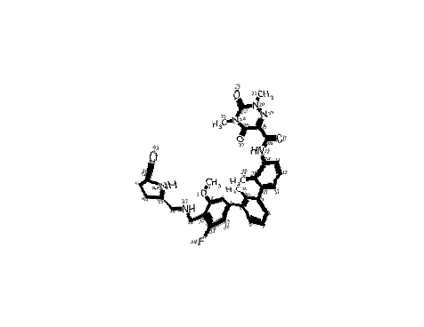 COc1cc(-c2cccc(-c3cccc(NC(=O)c4nn(C)c(=O)n(C)c4=O)c3C)c2C)cc(F)c1CNC[C@H]1CCC(=O)N1